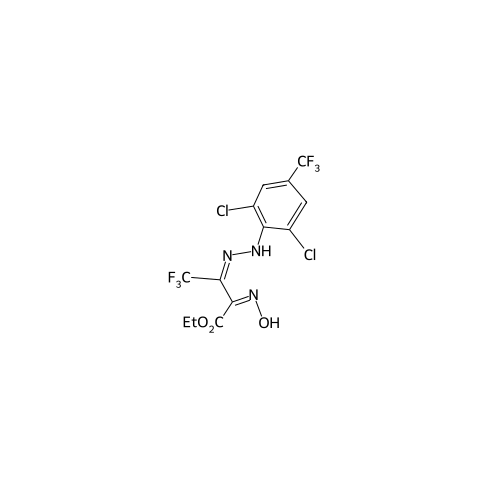 CCOC(=O)C(=NO)C(=NNc1c(Cl)cc(C(F)(F)F)cc1Cl)C(F)(F)F